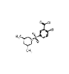 CC1CC(C)CN(S(=O)(=O)c2ccc(Cl)c(C(=O)Cl)c2)C1